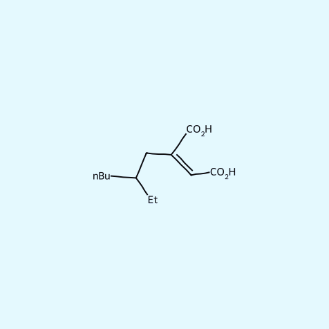 CCCCC(CC)CC(=CC(=O)O)C(=O)O